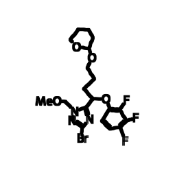 COCn1nc(Br)nc1C(CCCOC1CCCCO1)Oc1ccc(F)c(F)c1F